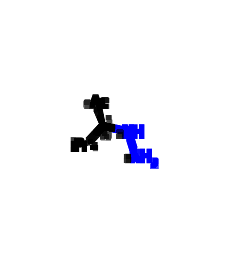 CC(=O)[C@@H](NN)C(C)C